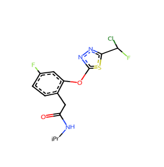 CC(C)NC(=O)Cc1ccc(F)cc1Oc1nnc(C(F)Cl)s1